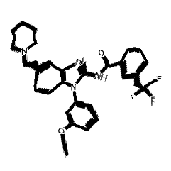 COc1cccc(-n2c(NC(=O)c3cccc(C(F)(F)F)c3)nc3cc(CN4CCCCC4)ccc32)c1